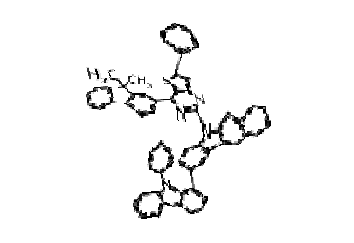 CC1(C)c2ccccc2-c2ccc(-c3nc(-n4c5ccc(-c6cccc7c8ccccc8n(-c8ccccc8)c67)cc5c5cc6ccccc6cc54)nc4cc(-c5ccccc5)sc34)cc21